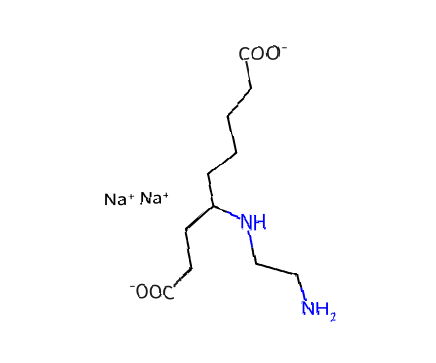 NCCNC(CCCCC(=O)[O-])CCC(=O)[O-].[Na+].[Na+]